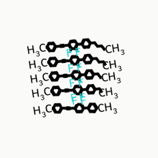 CCCCCc1ccc(-c2ccc(C#Cc3ccc(C)cc3)c(F)c2F)cc1.CCCCc1ccc(-c2ccc(C#Cc3ccc(C)cc3)c(F)c2F)cc1.CCCc1ccc(-c2ccc(C#Cc3ccc(C)cc3)c(F)c2F)cc1.CCc1ccc(-c2ccc(C#Cc3ccc(C)cc3)c(F)c2F)cc1.Cc1ccc(C#Cc2ccc(-c3ccc(C)cc3)c(F)c2F)cc1